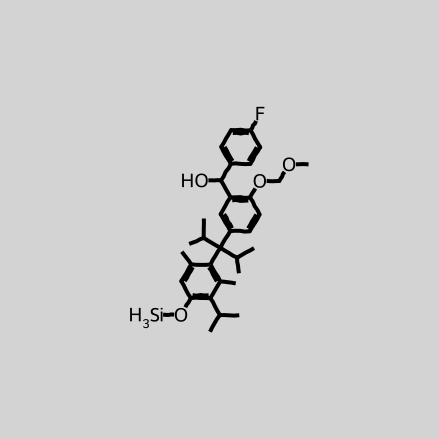 COCOc1ccc(C(c2c(C)cc(O[SiH3])c(C(C)C)c2C)(C(C)C)C(C)C)cc1C(O)c1ccc(F)cc1